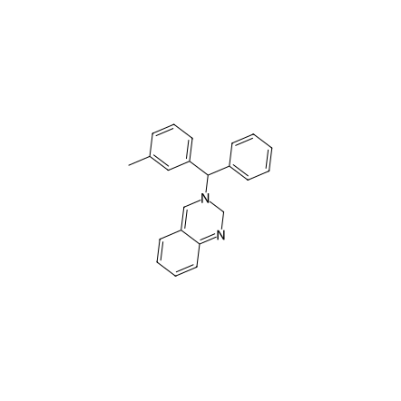 Cc1cccc(C(c2ccccc2)N2C=c3ccccc3=NC2)c1